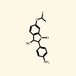 CCN1c2cc(OC(F)F)ccc2C(C#N)C1c1ccc(N)cc1